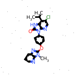 CC(C)c1c(Cl)cnc2c1[nH]c(=O)n2-c1ccc(Oc2nc3cccnc3n2C)cc1